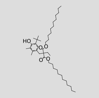 CCCCCCCCCCCCOC(=O)C(CC)(Cc1cc(C(C)(C)C)c(O)c(C)c1C)C(=O)OCCCCCCCCCCCC